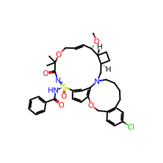 CO[C@H]1/C=C/COC(C)(C)C(=O)N=S(=O)(NC(=O)c2ccccc2)c2ccc3c(c2)N(CCCCc2cc(Cl)ccc2CO3)C[C@@H]2CC[C@H]21